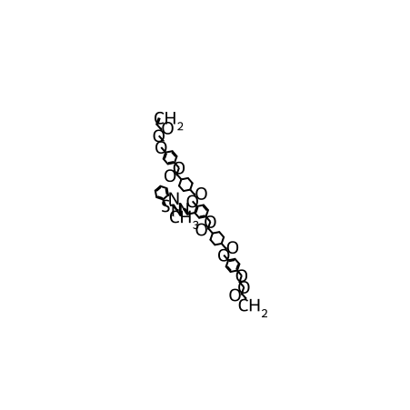 C=CC(=O)OCOc1ccc(OC(=O)C2CCC(C(=O)Oc3ccc(OC(=O)C4CCC(C(=O)Oc5ccc(OCOC(=O)C=C)cc5)CC4)c(/C=N/N(C)c4nc5ccccc5s4)c3)CC2)cc1